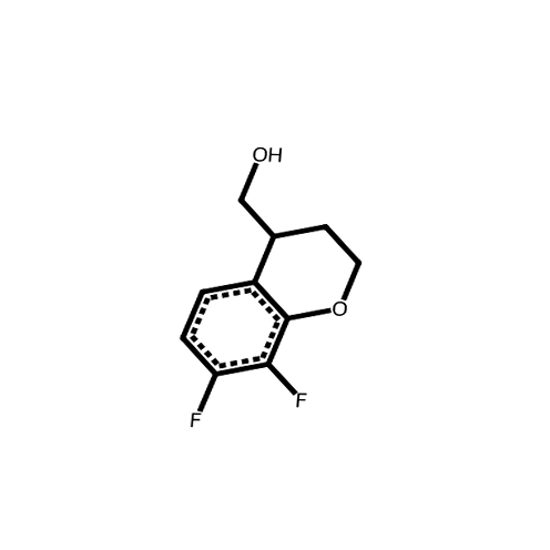 OCC1CCOc2c1ccc(F)c2F